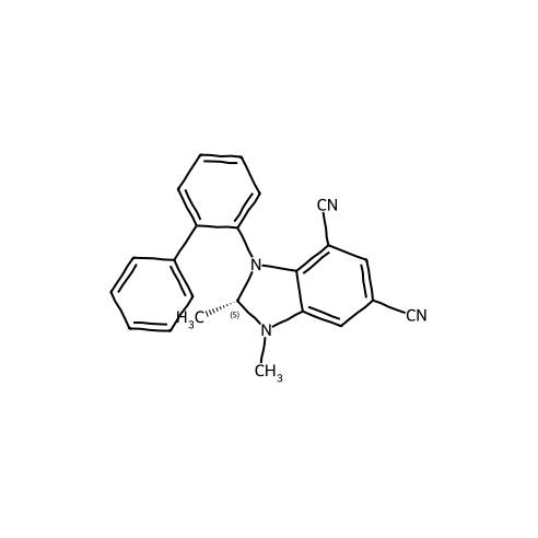 C[C@H]1N(C)c2cc(C#N)cc(C#N)c2N1c1ccccc1-c1ccccc1